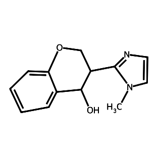 Cn1ccnc1C1COc2ccccc2C1O